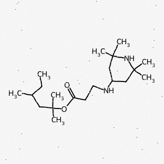 CCC(C)CC(C)(C)OC(=O)CCNC1CC(C)(C)NC(C)(C)C1